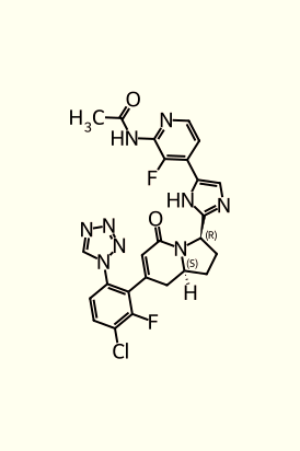 CC(=O)Nc1nccc(-c2cnc([C@H]3CC[C@H]4CC(c5c(-n6cnnn6)ccc(Cl)c5F)=CC(=O)N43)[nH]2)c1F